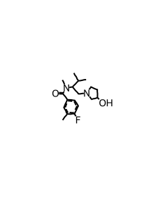 Cc1cc(C(=O)N(C)C(CN2CCC(O)C2)C(C)C)ccc1F